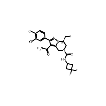 NC(=O)c1c(-c2ccc(Cl)c(Cl)c2)nn2c1CN(C(=O)NC1CC(F)(F)C1)C[C@@H]2CF